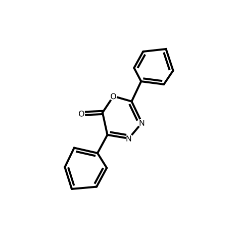 O=c1oc(-c2ccccc2)nnc1-c1ccccc1